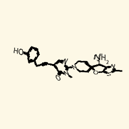 Cc1nc2c(s1)OC1(CCN(c3ncc(C#CCc4cccc(O)c4)c(=O)n3C)CC1)[C@@H]2N